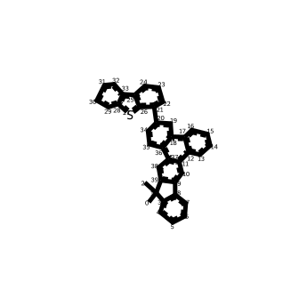 CC1(C)c2ccccc2-c2cc3c4ccccc4c4cc(-c5cccc6c5sc5ccccc56)ccc4c3cc21